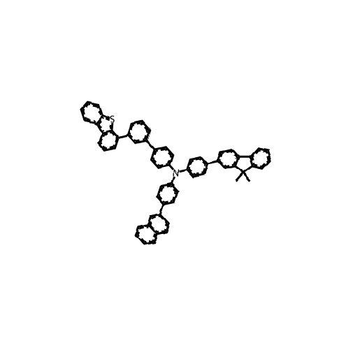 CC1(C)c2ccccc2-c2ccc(-c3ccc(N(c4ccc(-c5cccc(-c6cccc7c6sc6ccccc67)c5)cc4)c4ccc(-c5ccc6ccccc6c5)cc4)cc3)cc21